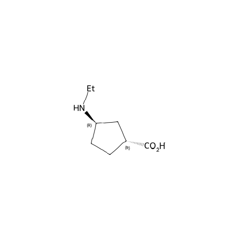 CCN[C@@H]1CC[C@@H](C(=O)O)C1